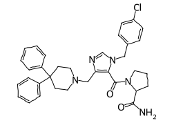 NC(=O)C1CCCN1C(=O)c1c(CN2CCC(c3ccccc3)(c3ccccc3)CC2)ncn1Cc1ccc(Cl)cc1